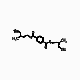 CC(CCOC(=O)c1ccc(C(=O)OCCC(C)CC(C)(C)C)cc1)CC(C)(C)C